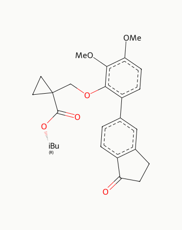 CC[C@@H](C)OC(=O)C1(COc2c(-c3ccc4c(c3)CCC4=O)ccc(OC)c2OC)CC1